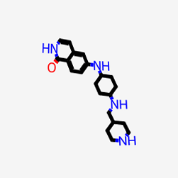 O=c1[nH]ccc2cc(NC3CCC(NCC4CCNCC4)CC3)ccc12